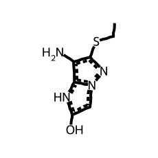 CCSc1nn2cc(O)[nH]c2c1N